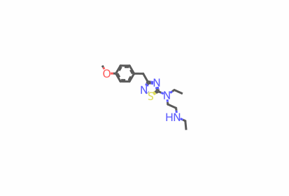 CCNCCN(CC)c1nc(Cc2ccc(OC)cc2)ns1